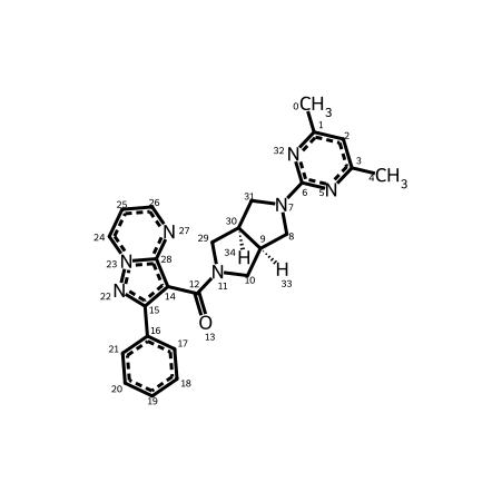 Cc1cc(C)nc(N2C[C@H]3CN(C(=O)c4c(-c5ccccc5)nn5cccnc45)C[C@H]3C2)n1